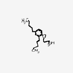 CCCCCc1ccc(OCCS)c(CCCCC)c1